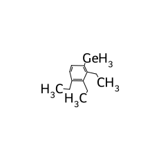 CCc1cc[c]([GeH3])c(CC)c1CC